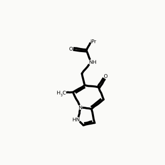 Cc1c(CNC(=O)C(C)C)c(=O)cc2cc[nH]n12